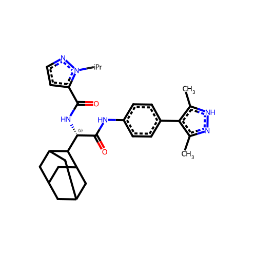 Cc1n[nH]c(C)c1-c1ccc(NC(=O)[C@@H](NC(=O)c2ccnn2C(C)C)C2C3CC4CC(C3)CC2C4)cc1